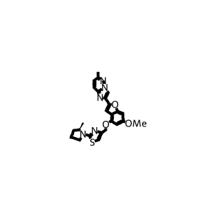 COc1cc(OCc2csc(N3CCC[C@H]3C)n2)c2cc(-c3cn4nc(C)ccc4n3)oc2c1